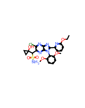 CCOc1cccc(-c2nc3nc(Cl)c(C(C4(O)CC4)S(N)(=O)=O)nc3n2-c2c(OC)cccc2OC)n1